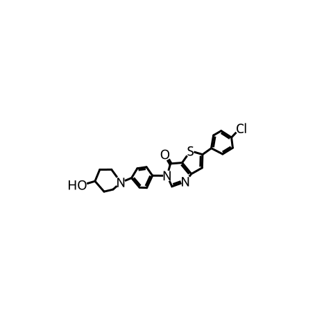 O=c1c2sc(-c3ccc(Cl)cc3)cc2ncn1-c1ccc(N2CCC(O)CC2)cc1